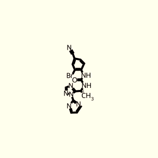 C[C@H](NC(=O)Nc1ccc(C#N)cc1Br)c1ncnn1-c1ncccn1